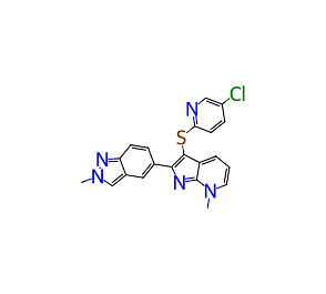 Cn1cc2cc(-c3nc4n(C)cccc-4c3Sc3ccc(Cl)cn3)ccc2n1